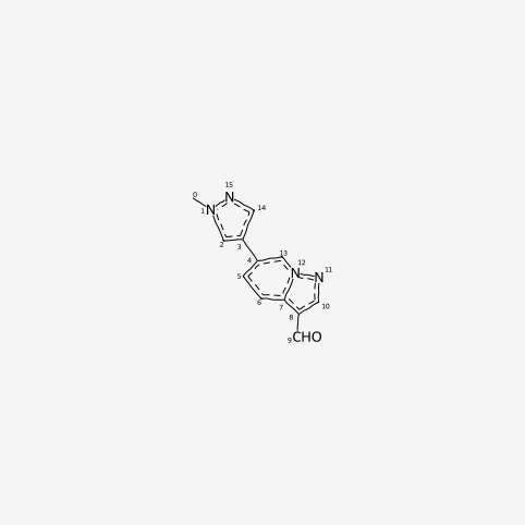 Cn1cc(-c2ccc3c(C=O)cnn3c2)cn1